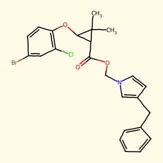 CC1(C)C(Oc2ccc(Br)cc2Cl)C1C(=O)OCn1ccc(Cc2ccccc2)c1